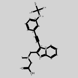 CN(CC(=O)O)Cc1nc2ccccn2c1C#Cc1cccc(OC(F)(F)F)c1